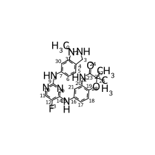 CN1NCc2ccc(Nc3ncc(F)c(Nc4ccc5c(c4)NC(=O)C(C)(C)O5)n3)cc21